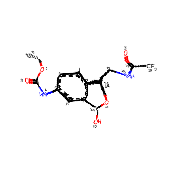 CC(C)(C)OC(=O)Nc1ccc2c(c1)B(O)OC2CNC(=O)C(F)(F)F